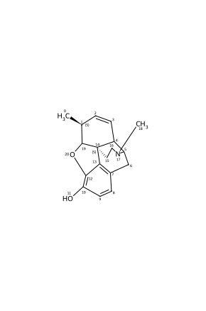 C[C@H]1C=CC2C3Cc4ccc(O)c5c4[C@@]2(CCN3C)C1O5